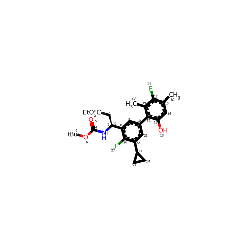 CCOC(=O)C[C@H](NC(=O)OC(C)(C)C)c1cc(-c2c(O)cc(C)c(F)c2C)cc(C2CC2)c1F